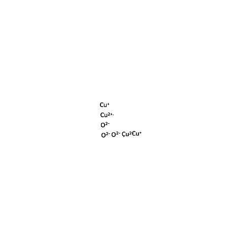 [Cu+2].[Cu+2].[Cu+].[Cu+].[O-2].[O-2].[O-2]